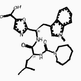 CC(C)C[C@H](NC(=O)N1CCCCCC1)C(=O)N[C@H](Cc1cn(C)c2ccccc12)c1ncc(C(=O)O)o1